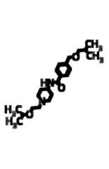 CC(C)COCc1ccc(C(=O)NC2CCN(CCOC(C)C)CC2)cc1